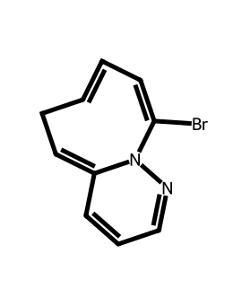 Br/C1=C/C=C/C/C=C2/C=CC=NN21